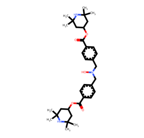 CC1(C)CC(OC(=O)c2ccc(CN(O)Cc3ccc(C(=O)OC4CC(C)(C)NC(C)(C)C4)cc3)cc2)CC(C)(C)N1